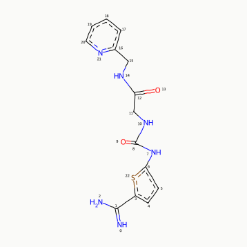 N=C(N)c1ccc(NC(=O)NCC(=O)NCc2ccccn2)s1